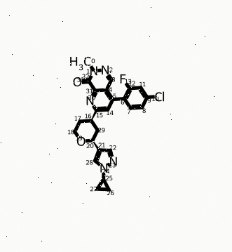 Cn1ncc2c(-c3ccc(Cl)cc3F)cc([C@@H]3CCO[C@H](c4cnn(C5CC5)c4)C3)nc2c1=O